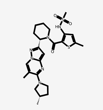 Cc1cc(NS(C)(=O)=O)c(C(=O)N2CCCC[C@H]2c2cc3nc(N4CC[C@H](C)C4)c(C)cn3n2)s1